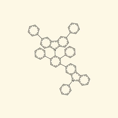 c1ccc(-c2ccc3c(c2)c2cc(-c4ccccc4)ccc2n3-c2c(-c3ccccc3)ccc(-c3ccc4c5ccccc5n(-c5ccccc5)c4c3)c2-c2ccccc2)cc1